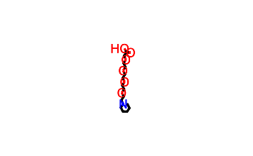 O=C(O)COCCOCCOCCOCCN1CCCCC1